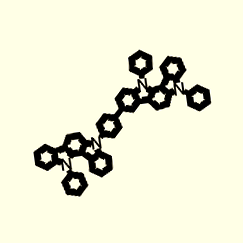 c1ccc(-n2c3ccccc3c3c2ccc2c4cc(-c5ccc(-n6c7ccccc7c7c6ccc6c8ccccc8n(-c8ccccc8)c67)cc5)ccc4n(-c4ccccc4)c23)cc1